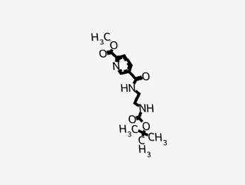 COC(=O)c1ccc(C(=O)NCCNC(=O)OC(C)(C)C)cn1